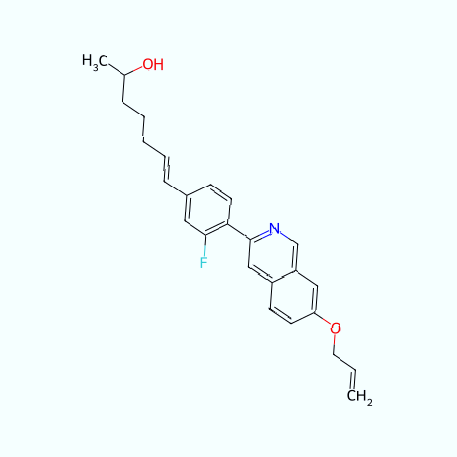 C=CCOc1ccc2cc(-c3ccc(C=CCCCC(C)O)cc3F)ncc2c1